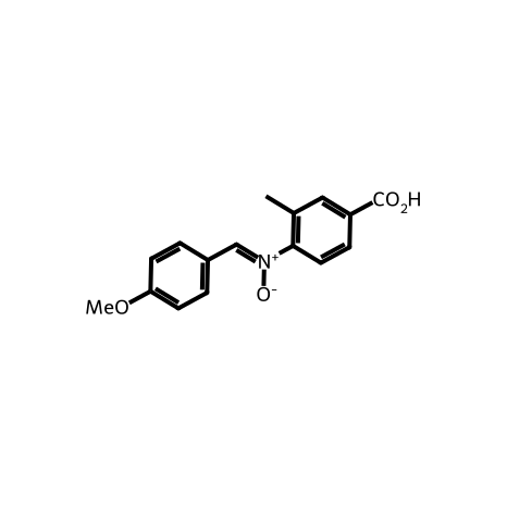 COc1ccc(C=[N+]([O-])c2ccc(C(=O)O)cc2C)cc1